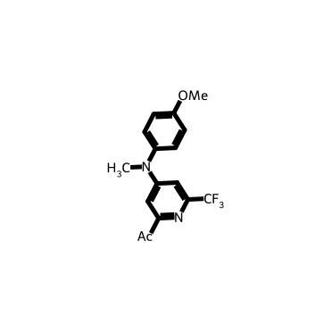 COc1ccc(N(C)c2cc(C(C)=O)nc(C(F)(F)F)c2)cc1